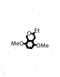 CCC1Cc2c(OC)ccc(OC)c2CO1